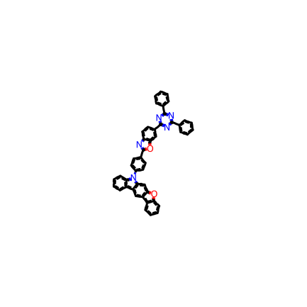 c1ccc(-c2nc(-c3ccccc3)nc(-c3ccc4nc(-c5ccc(-n6c7ccccc7c7cc8c(cc76)oc6ccccc68)cc5)oc4c3)n2)cc1